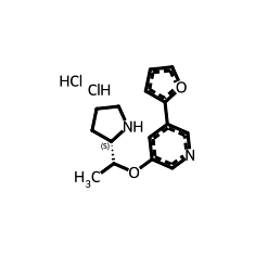 CC(Oc1cncc(-c2ccco2)c1)[C@@H]1CCCN1.Cl.Cl